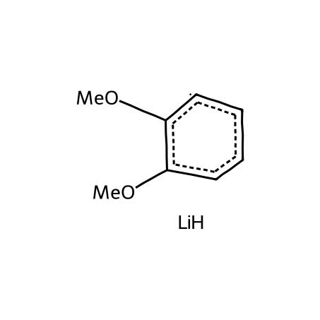 COc1[c]cccc1OC.[LiH]